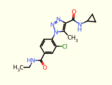 CCNC(=O)c1ccc(-n2nnc(C(=O)NC3CC3)c2C)c(Cl)c1